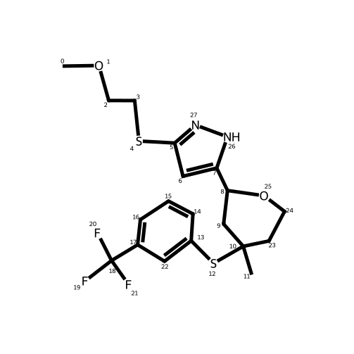 COCCSc1cc(C2CC(C)(Sc3cccc(C(F)(F)F)c3)CCO2)[nH]n1